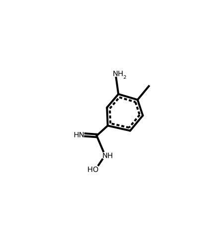 Cc1ccc(C(=N)NO)cc1N